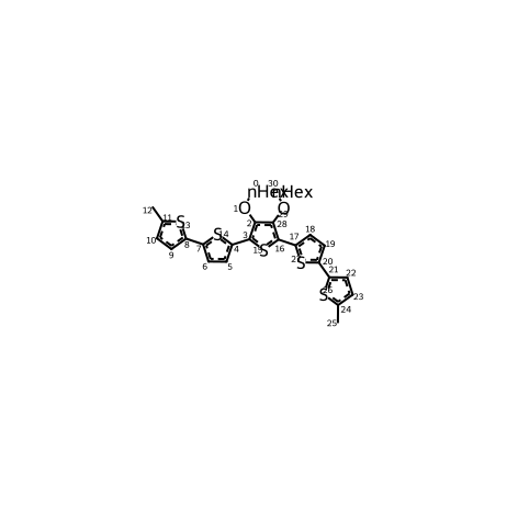 CCCCCCOc1c(-c2ccc(-c3ccc(C)s3)s2)sc(-c2ccc(-c3ccc(C)s3)s2)c1OCCCCCC